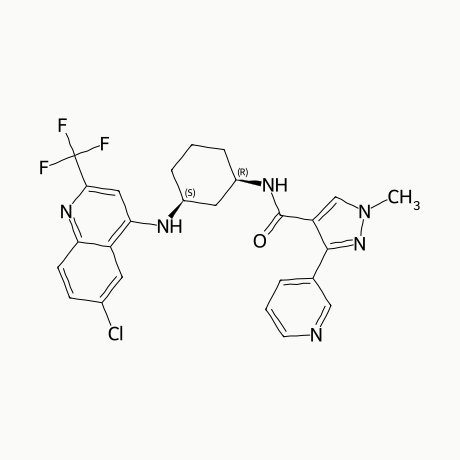 Cn1cc(C(=O)N[C@@H]2CCC[C@H](Nc3cc(C(F)(F)F)nc4ccc(Cl)cc34)C2)c(-c2cccnc2)n1